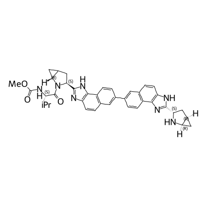 COC(=O)N[C@H](C(=O)N1[C@@H]2CC2C[C@H]1c1nc2ccc3cc(-c4ccc5c(ccc6[nH]c([C@@H]7C[C@H]8C[C@H]8N7)nc65)c4)ccc3c2[nH]1)C(C)C